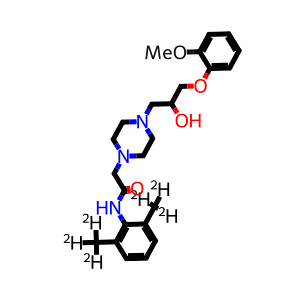 [2H]C([2H])([2H])c1cccc(C([2H])([2H])[2H])c1NC(=O)CN1CCN(CC(O)COc2ccccc2OC)CC1